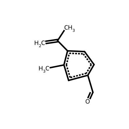 C=C(C)c1ccc(C=O)cc1C